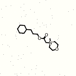 C[N+]1(CC(=O)OCCCC2CCCCC2)CCOCC1